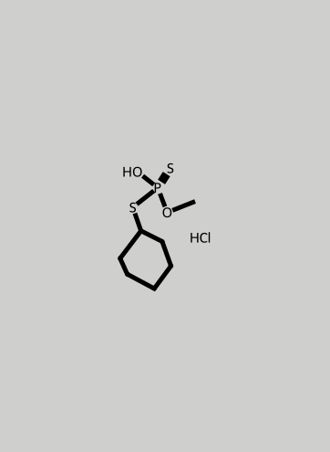 COP(O)(=S)SC1CCCCC1.Cl